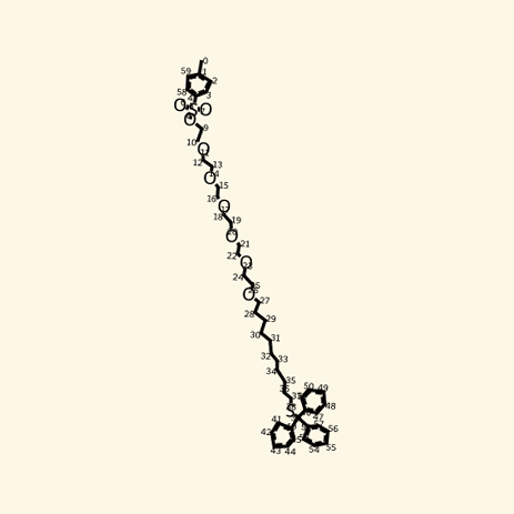 Cc1ccc(S(=O)(=O)OCCOCCOCCOCCOCCOCCOCCCCCCCCCCCSC(c2ccccc2)(c2ccccc2)c2ccccc2)cc1